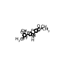 COc1cc(OC)c(F)c(-c2cc3[nH]nc(-c4cc5c(cc4F)C(=O)N(C(C)C)C5)c3cn2)c1F